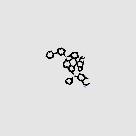 C/C=C\c1cc(N(c2ccccc2)c2cc3c4c(ccc5c4c4c(cccc4n5-c4cccc(-c5ccccc5)c4)C34c3ccccc3-c3ccccc34)c2)ccc1C